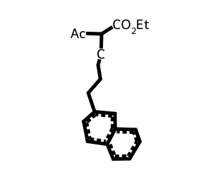 CCOC(=O)C(CCCCc1ccc2ccccc2c1)C(C)=O